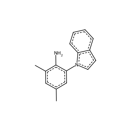 Cc1cc(C)c(N)c(-n2ccc3ccccc32)c1